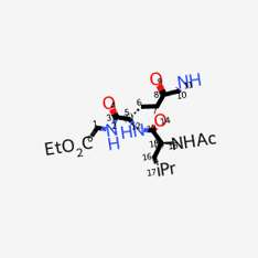 CCOC(=O)CNC(=O)[C@H](CCC(=O)C=N)NC(=O)[C@H](CC(C)C)NC(C)=O